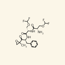 C[C@@]1(C(=O)[C@H](Cc2ccccc2)NC(=O)[C@H](COC(F)F)NC(=O)[C@@H](N)COC(F)F)CO1